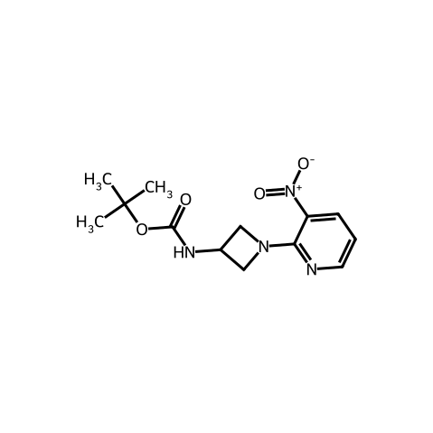 CC(C)(C)OC(=O)NC1CN(c2ncccc2[N+](=O)[O-])C1